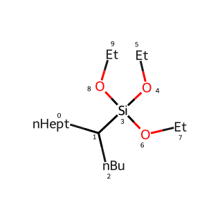 CCCCCCCC(CCCC)[Si](OCC)(OCC)OCC